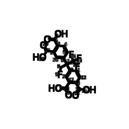 O=C(O)c1ccc(C(CF)(c2ccc(C(=O)O)c(C(=O)O)c2)C(F)(F)F)cc1C(=O)O